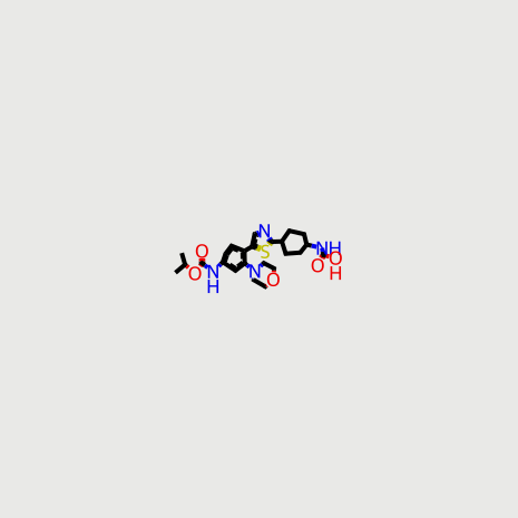 CC(C)OC(=O)Nc1ccc(-c2cnc(C3CCC(NC(=O)O)CC3)s2)c(N2CCOCC2)c1